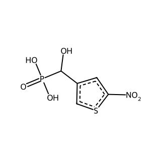 O=[N+]([O-])c1cc(C(O)P(=O)(O)O)cs1